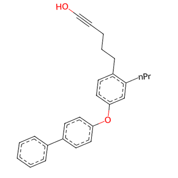 CCCc1cc(Oc2ccc(-c3ccccc3)cc2)ccc1CCCC#CO